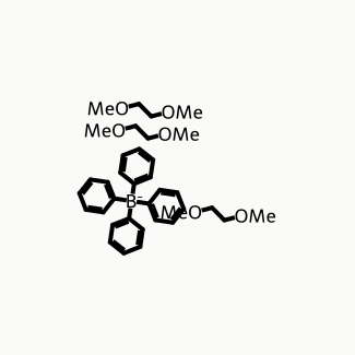 COCCOC.COCCOC.COCCOC.c1ccc([B-](c2ccccc2)(c2ccccc2)c2ccccc2)cc1